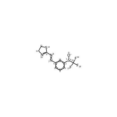 [O-][S+](c1cccc(N=NC2=NCCS2)c1)C(F)(F)F